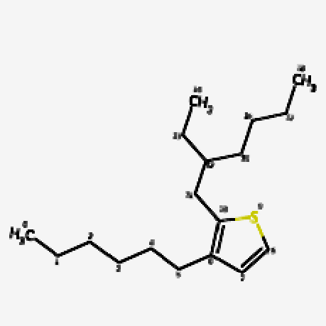 CCCCCCc1c[c]sc1CC(CC)CCCC